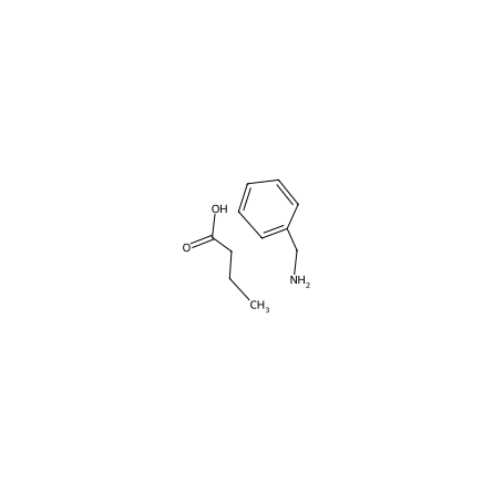 CCCC(=O)O.NCc1ccccc1